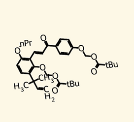 C=CC(C)(C)c1ccc(OCCC)c(C=CC(=O)c2ccc(OCOC(=O)C(C)(C)C)cc2)c1OCOC(=O)C(C)(C)C